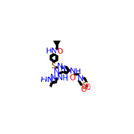 Cc1cc(Nc2nc(Sc3ccc(NC(=O)C4CC4)cc3)nn3cc(NC(=O)CN4CCS(=O)(=O)CC4)cc23)n[nH]1